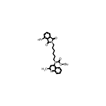 CCCc1cccc2c1C(=O)N(CCCCCCN(C(=O)OC(C)(C)C)c1cc(C)nc3ccccc13)C2=O